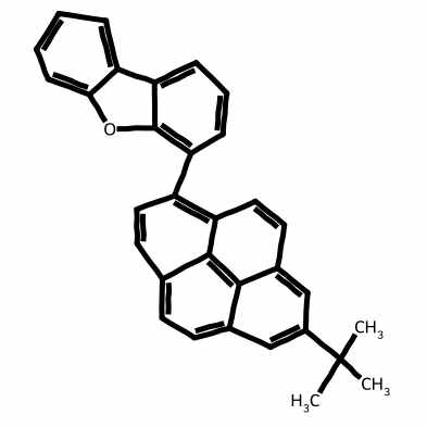 CC(C)(C)c1cc2ccc3ccc(-c4cccc5c4oc4ccccc45)c4ccc(c1)c2c34